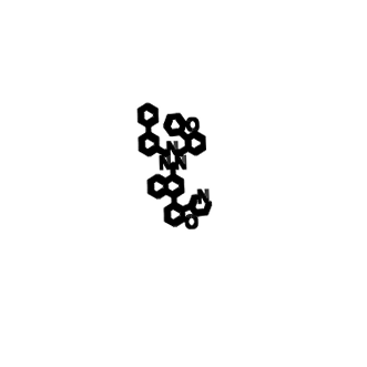 c1ccc(-c2cccc(-c3nc(-c4ccc(-c5cccc6oc7ccncc7c56)c5ccccc45)nc(-c4cccc5oc6ccccc6c45)n3)c2)cc1